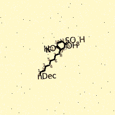 CCCCCCCCCCCCCCCCCCC1=C(O)C=CC(O)(S(=O)(=O)O)C1.[K]